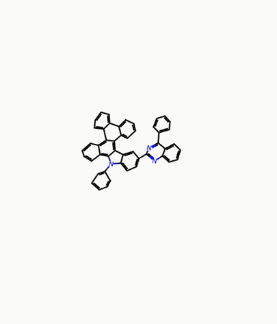 c1ccc(-c2nc(-c3ccc4c(c3)c3c5c6ccccc6c6ccccc6c5c5ccccc5c3n4-c3ccccc3)nc3ccccc23)cc1